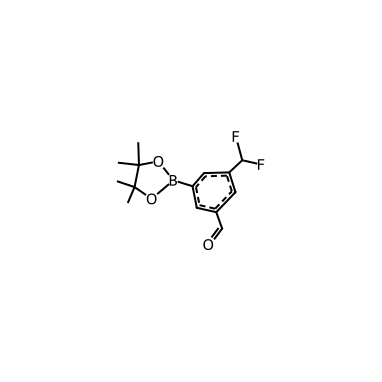 CC1(C)OB(c2cc(C=O)cc(C(F)F)c2)OC1(C)C